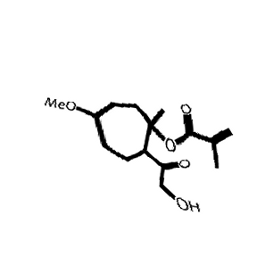 C=C(C)C(=O)OC1(C)CCC(OC)CCC1C(=O)CO